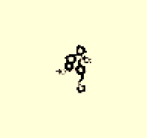 CCN(Cc1ccc(CCN2CCCC2)cc1)C1C=CC=CC1[C@@H]1CCc2cc(O)ccc2C1